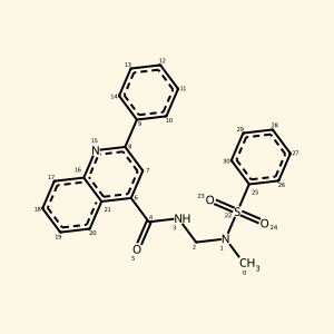 CN(CNC(=O)c1cc(-c2ccccc2)nc2ccccc12)S(=O)(=O)c1ccccc1